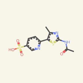 CC(=O)Nc1nc(C)c(-c2ccc(S(=O)(=O)O)cn2)s1